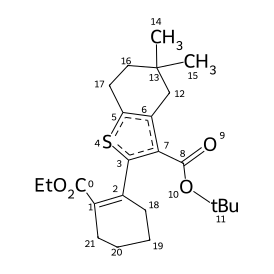 CCOC(=O)C1=C(c2sc3c(c2C(=O)OC(C)(C)C)CC(C)(C)CC3)CCCC1